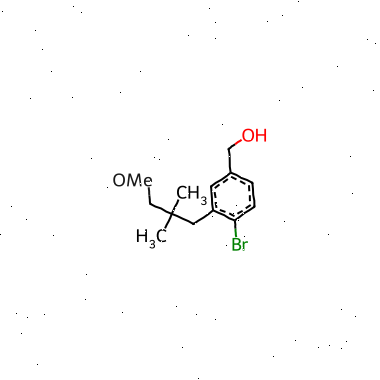 COCC(C)(C)Cc1cc(CO)ccc1Br